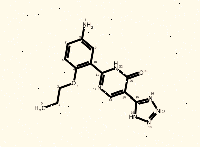 CCCOc1ccc(N)cc1-c1ncc(-c2nnn[nH]2)c(=O)[nH]1